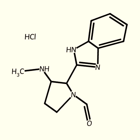 CNC1CCN(C=O)C1c1nc2ccccc2[nH]1.Cl